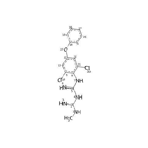 CNC(=N)NC(=N)Nc1c(Cl)cc(Oc2ccccc2)cc1Cl